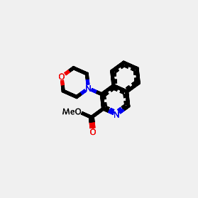 COC(=O)c1ncc2ccccc2c1N1CCOCC1